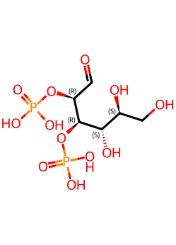 O=C[C@H](OP(=O)(O)O)[C@H](OP(=O)(O)O)[C@@H](O)[C@@H](O)CO